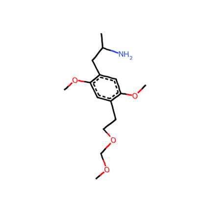 COCOCCc1cc(OC)c(CC(C)N)cc1OC